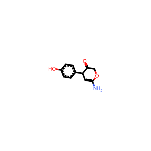 NC1=CC(c2ccc(O)cc2)C(=O)CO1